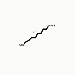 CCCCCCCCCCCCCCCC(=O)[O-].[Li+]